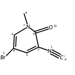 [C-]#[N+]c1cc(Br)cn(C)c1=O